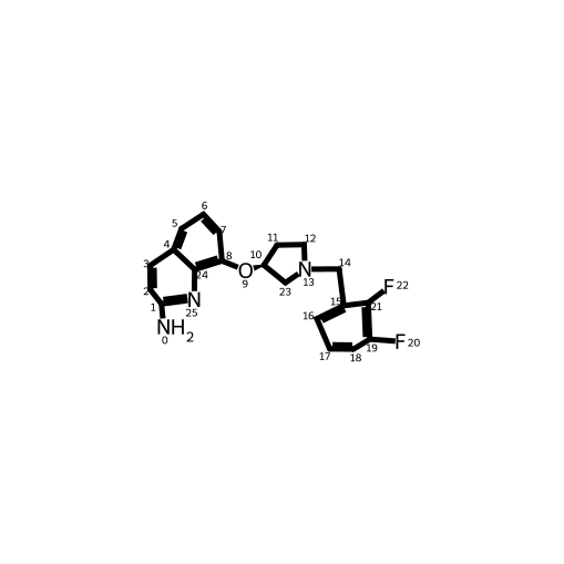 Nc1ccc2cccc(O[C@H]3CCN(Cc4cccc(F)c4F)C3)c2n1